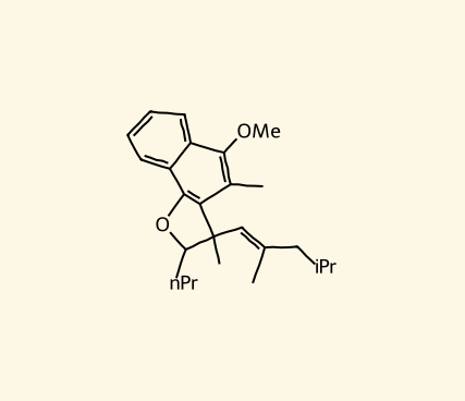 CCCC1Oc2c(c(C)c(OC)c3ccccc23)C1(C)/C=C(\C)CC(C)C